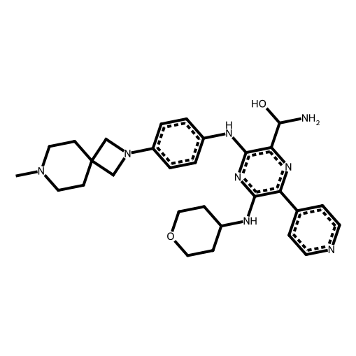 CN1CCC2(CC1)CN(c1ccc(Nc3nc(NC4CCOCC4)c(-c4ccncc4)nc3C(N)O)cc1)C2